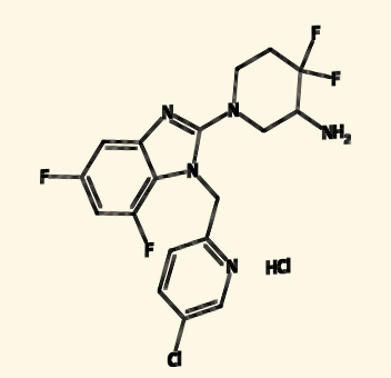 Cl.NC1CN(c2nc3cc(F)cc(F)c3n2Cc2ccc(Cl)cn2)CCC1(F)F